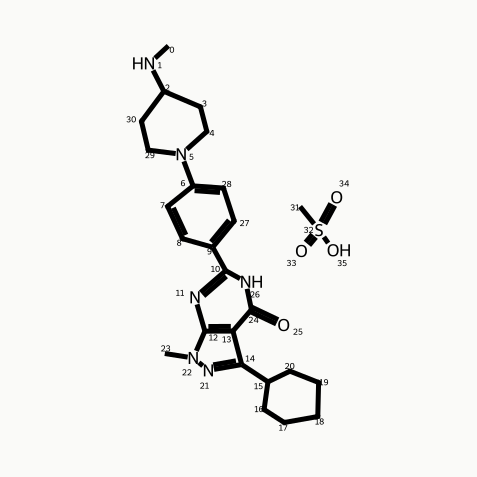 CNC1CCN(c2ccc(-c3nc4c(c(C5CCCCC5)nn4C)c(=O)[nH]3)cc2)CC1.CS(=O)(=O)O